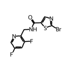 O=C(NCc1ncc(F)cc1F)c1cnc(Br)s1